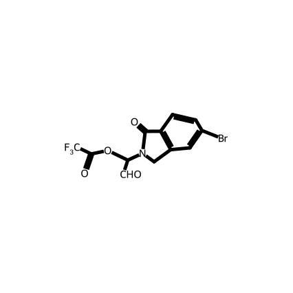 O=CC(OC(=O)C(F)(F)F)N1Cc2cc(Br)ccc2C1=O